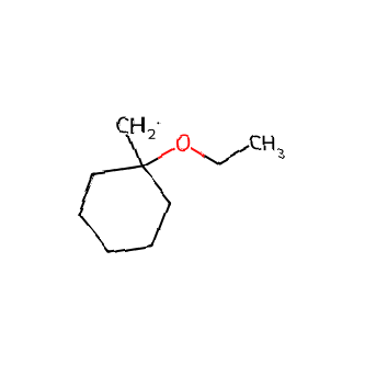 [CH2]C1(OCC)CCCCC1